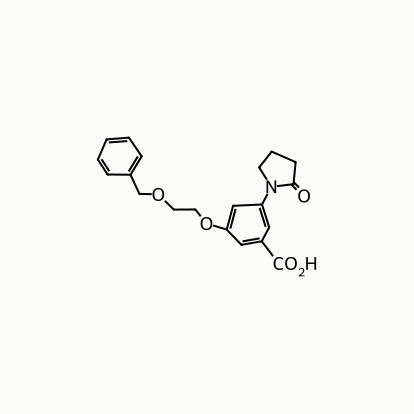 O=C(O)c1cc(OCCOCc2ccccc2)cc(N2CCCC2=O)c1